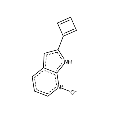 [O-][n+]1cccc2cc(C3=CC=C3)[nH]c21